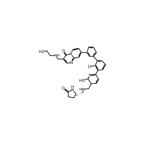 O=C1CC[C@@H](CNCC2C=CC(c3cccc(-c4cccc(-c5ccn6c(=O)c(CNCCO)cnc6c5)c4)c3Cl)=NC2O)N1